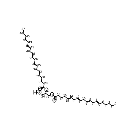 CCCCCC=CCC=CCC=CCC=CCCCC(=O)OCC(CO)OC(=O)CCCC=CCC=CCC=CCC=CCCCCC